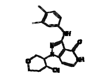 Cc1ccc(Nc2nn(C3COCCC3C#N)c3cc[nH]c(=O)c23)cc1C